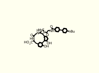 CCCCc1ccc(-c2ccc(C(=O)NCC(=O)N(C)C3C(=O)NCC(=O)N[C@H](C(=O)O)Cc4ccc(O)c(c4)-c4cc3ccc4O)cc2)cc1